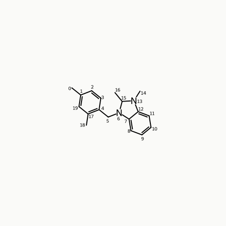 Cc1ccc(CN2c3ccccc3N(C)C2C)c(C)c1